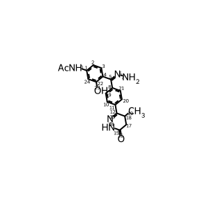 CC(=O)Nc1ccc(C(=NN)c2ccc(C3=NNC(=O)CC3C)cc2)c(O)c1